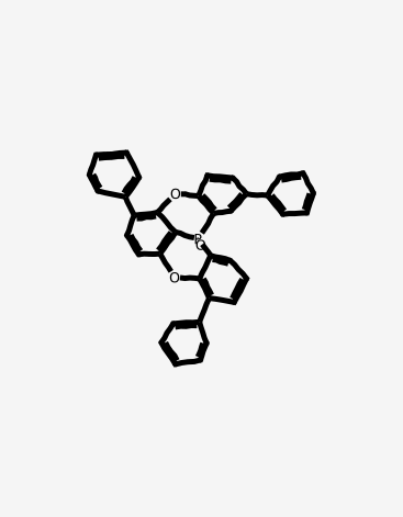 O=P12c3cc(-c4ccccc4)ccc3Oc3c(-c4ccccc4)ccc(c31)Oc1c(-c3ccccc3)cccc12